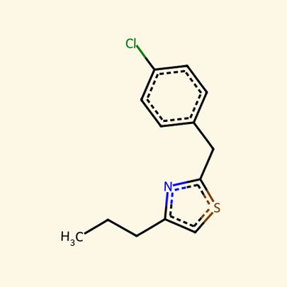 CCCc1csc(Cc2ccc(Cl)cc2)n1